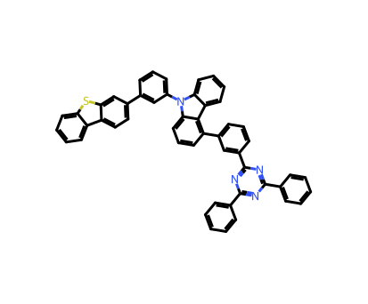 c1ccc(-c2nc(-c3ccccc3)nc(-c3cccc(-c4cccc5c4c4ccccc4n5-c4cccc(-c5ccc6c(c5)sc5ccccc56)c4)c3)n2)cc1